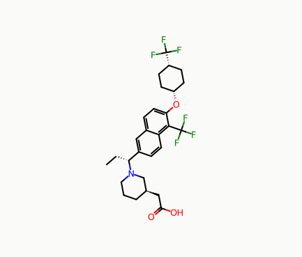 CC[C@H](c1ccc2c(C(F)(F)F)c(O[C@H]3CC[C@@H](C(F)(F)F)CC3)ccc2c1)N1CCC[C@H](CC(=O)O)C1